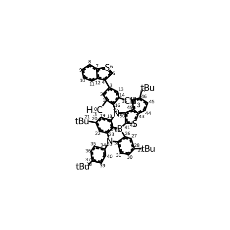 Cc1cc(-c2csc3ccccc23)cc(C)c1N1c2cc(C(C)(C)C)cc3c2B(c2cc(C(C)(C)C)ccc2N3c2ccc(C(C)(C)C)cc2)c2sc3ccc(C(C)(C)C)cc3c21